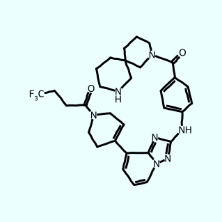 O=C(CCC(F)(F)F)N1CC=C(c2cccn3nc(Nc4ccc(C(=O)N5CCCC6(CCCNC6)C5)cc4)nc23)CC1